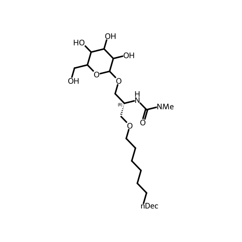 CCCCCCCCCCCCCCCCOC[C@H](COC1OC(CO)C(O)C(O)C1O)NC(=O)NC